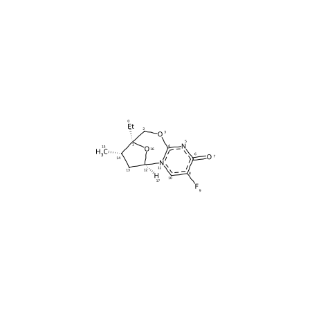 CC[C@@]12COc3nc(=O)c(F)cn3[C@@H](C[C@@H]1C)O2